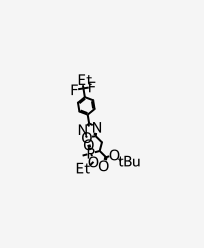 CCOP(C)(=O)C(Cc1nc(-c2ccc(C(F)(F)CC)cc2)no1)C(=O)OC(C)(C)C